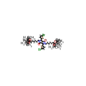 C[Si](C)(C)O[Si](C)(CCCCCCN1C(=O)C2=C(c3ccc(Br)s3)N(CCCCCC[Si](C)(O[Si](C)(C)C)O[Si](C)(C)C)C(=O)C2=C1c1ccc(Br)s1)O[Si](C)(C)C